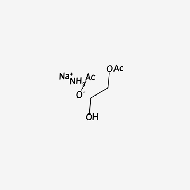 CC(=O)OCCO.CC(=O)[O-].N.[Na+]